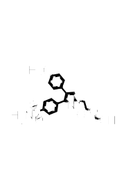 CCOC(=O)Cn1cc(-c2ccc(C)cc2)c(-c2ccc(S(N)(=O)=O)cc2)n1